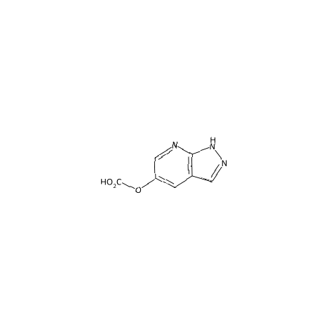 O=C(O)Oc1cnc2[nH]ncc2c1